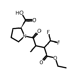 CCOC(=O)C(C(F)F)C(C)C(=O)N1CCC[C@H]1C(=O)O